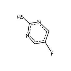 Fc1cnc(S)nc1